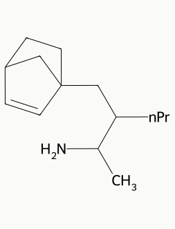 CCCC(CC12C=CC(CC1)C2)C(C)N